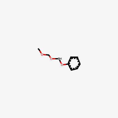 COCOBOc1ccccc1